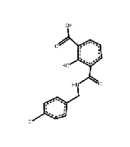 O=C(O)c1cccc(C(=O)NCc2ccc(Cl)cc2)c1O